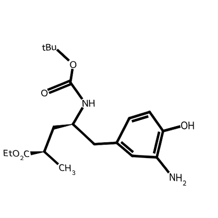 CCOC(=O)[C@H](C)C[C@H](Cc1ccc(O)c(N)c1)NC(=O)OC(C)(C)C